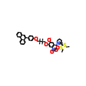 CCSC(SCC)[C@@H]1CCCN1C(=O)c1cc(OC)c(OCC(C)(C)C(C)(C)COc2ccc(-c3cc4ccccc4c4ccccc34)cc2)cc1[N+](=O)[O-]